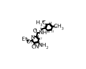 CCOc1nc(C(=O)NCc2ccc(C)cc2C)cc(N)c1C#N